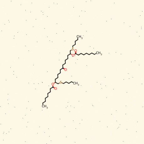 CCCCCCCCC(=O)OC(CCCCCC(=O)CCCCCC(CSCCCCC)OC(=O)CCCCCCCC)CSCCCCC